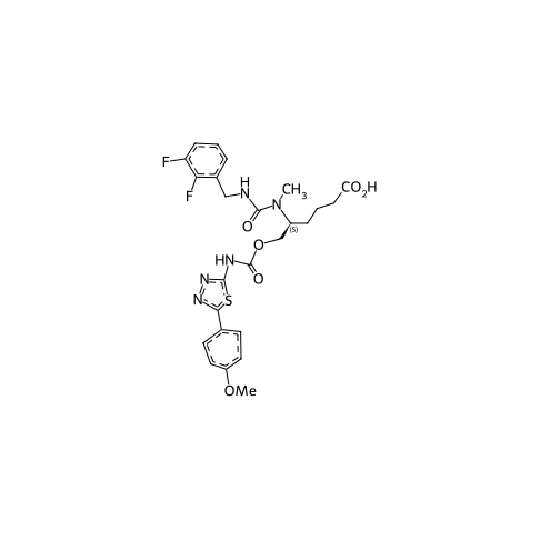 COc1ccc(-c2nnc(NC(=O)OC[C@H](CCCC(=O)O)N(C)C(=O)NCc3cccc(F)c3F)s2)cc1